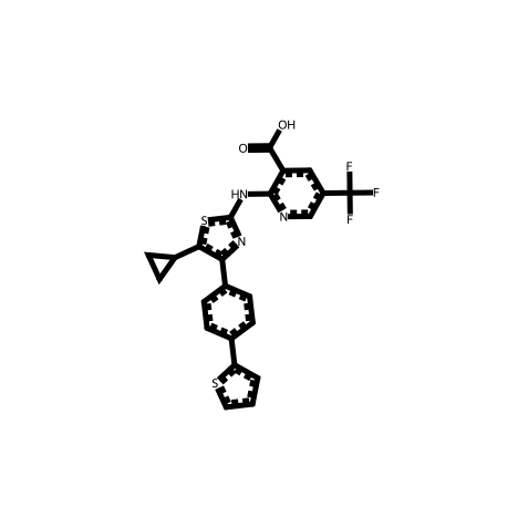 O=C(O)c1cc(C(F)(F)F)cnc1Nc1nc(-c2ccc(-c3cccs3)cc2)c(C2CC2)s1